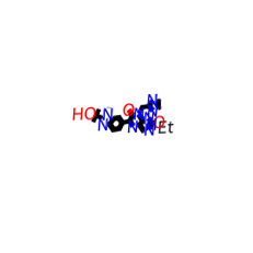 CCOc1ncc2nc(-c3ccc4nc(C(C)(C)O)n(C)c4c3)c(=O)n(Cc3ncc[nH]3)c2n1